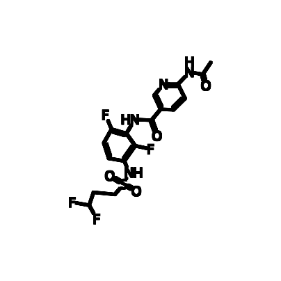 CC(=O)Nc1ccc(C(=O)Nc2c(F)ccc(NS(=O)(=O)CCC(F)F)c2F)cn1